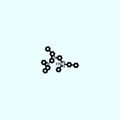 c1ccc(C2=NC(c3ccc(-c4ccccc4)cc3)=NC(c3cccc(-n4c5ccc(-c6ccccc6)cc5c5cc(-n6c7ccccc7c7c8ccccc8ccc76)ccc54)c3)N2)cc1